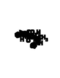 CC1N=C(NC2CCOCC2)N=C(c2ccc3c(c2)C(=O)N(CC(=O)NC2(c4ccccc4)CC2)C3CC(=O)O)C1Cl